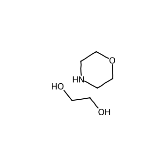 C1COCCN1.OCCO